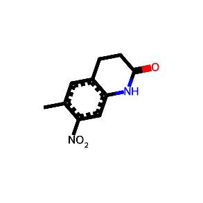 Cc1cc2c(cc1[N+](=O)[O-])NC(=O)CC2